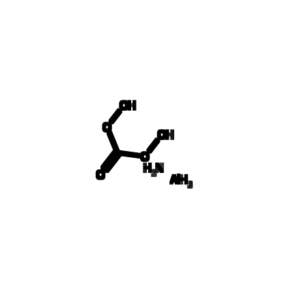 N.O=C(OO)OO.[AlH3]